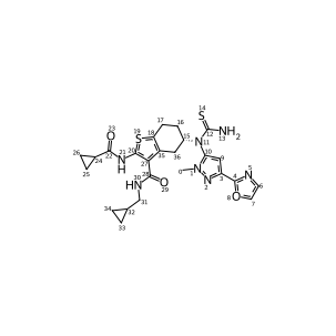 Cn1nc(-c2ncco2)cc1N(C(N)=S)[C@H]1CCc2sc(NC(=O)C3CC3)c(C(=O)NCC3CC3)c2C1